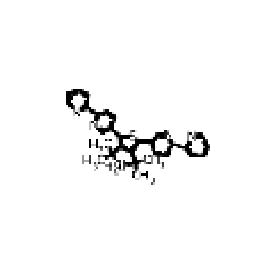 CC(C)(C)c1c(-c2ccc(-c3ccccn3)nc2)sc(-c2ccc(-c3ccccn3)nc2)c1C(C)(C)C